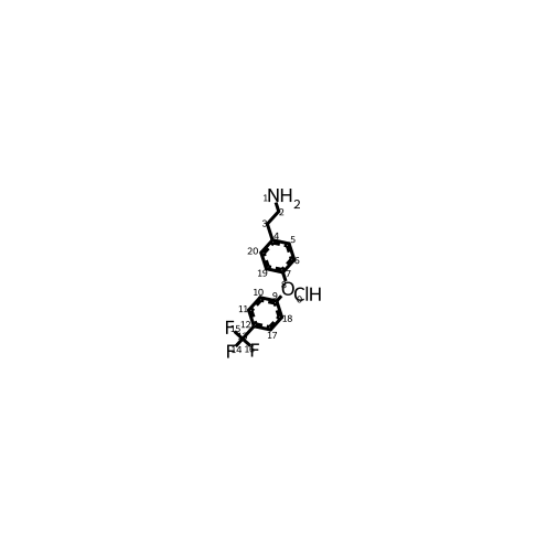 Cl.NCCc1ccc(Oc2ccc(C(F)(F)F)cc2)cc1